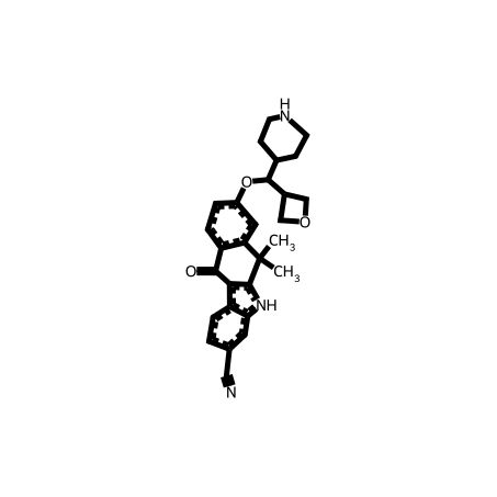 CC1(C)c2cc(OC(C3CCNCC3)C3COC3)ccc2C(=O)c2c1[nH]c1cc(C#N)ccc21